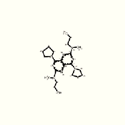 CN(CCO)c1nc(N2CCCC2)c2nc(N(C)CCO)nc(N3CCCC3)c2n1